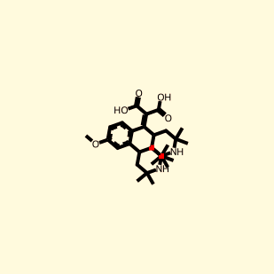 COc1ccc(C(=C(C(=O)O)C(=O)O)C2CC(C)(C)NC(C)(C)C2)c(C2CC(C)(C)NC(C)(C)C2)c1